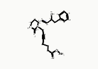 NOC(=O)CCCC#CCN1C(=O)OCC[C@@H]1/C=C/C(O)Cc1ccccc1